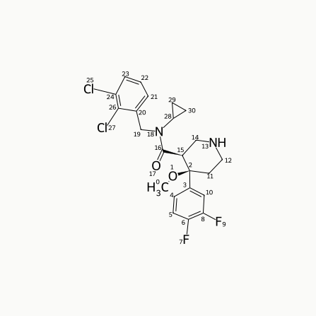 CO[C@]1(c2ccc(F)c(F)c2)CCNC[C@@H]1C(=O)N(Cc1cccc(Cl)c1Cl)C1CC1